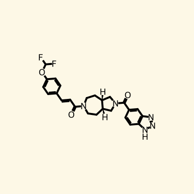 O=C(C=Cc1ccc(OC(F)F)cc1)N1CC[C@@H]2CN(C(=O)c3ccc4[nH]nnc4c3)C[C@@H]2CC1